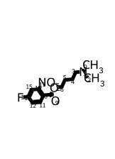 CN(C)CCCCOC(=O)c1ccc(F)cc1[N+](=O)[O-]